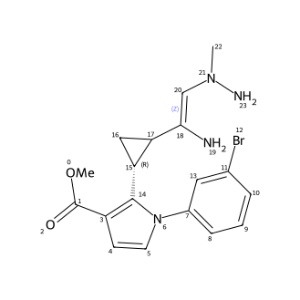 COC(=O)c1ccn(-c2cccc(Br)c2)c1[C@@H]1CC1/C(N)=C/N(C)N